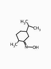 CC1CCC(C(C)C)CC1=NO